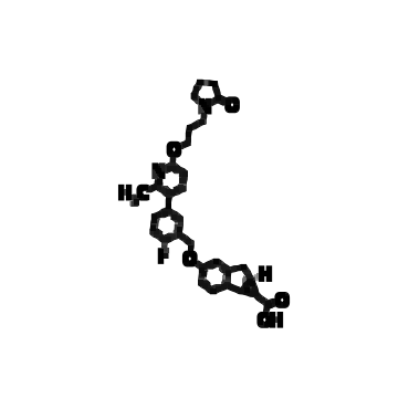 Cc1nc(OCCCN2CCCC2=O)ccc1-c1ccc(F)c(COc2ccc3c(c2)C[C@H]2C(C(=O)O)=C32)c1